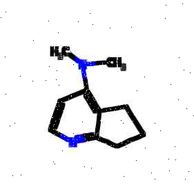 CN(C)c1ccnc2c1CCC2